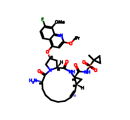 COc1c(F)ccc2c(O[C@@H]3C[C@H]4C(=O)N[C@]5(C(=O)NS(=O)(=O)C6(C)CC6)C[C@H]5/C=C\CCCCC[C@H](N)C(=O)N4C3)cc(OC(C)C)nc12